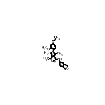 CCOc1ccc(-n2c(C)c3c(C)nnc(Nc4ccc5c(c4)COC5)c3c2C)c(OC)c1